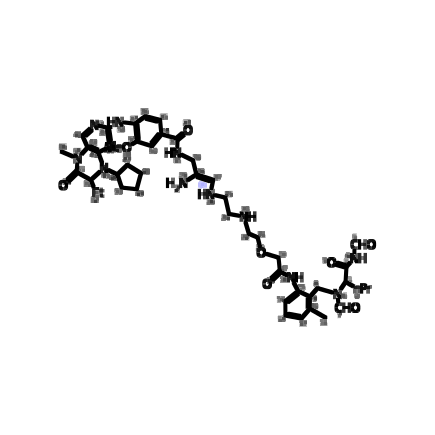 CCCC(C(=O)NC=O)N(C=O)Cc1c(C)cccc1NC(=O)COCCNCCN/C=C(\N)CNC(=O)c1ccc(Nc2ncc3c(n2)N(C2CCCC2)C(CC)C(=O)N3C)c(OC)c1